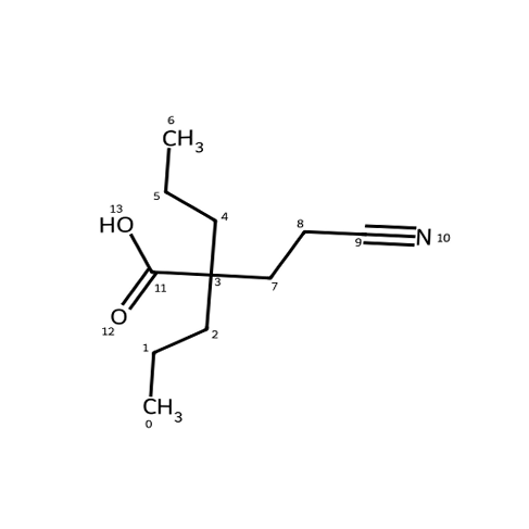 CCCC(CCC)(CCC#N)C(=O)O